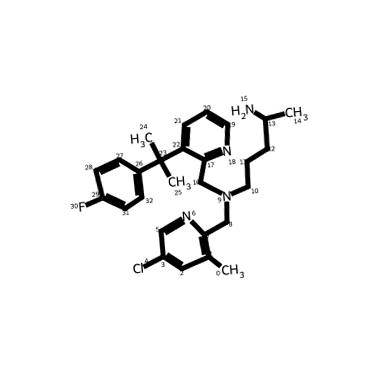 Cc1cc(Cl)cnc1CN(CCCC(C)N)Cc1ncccc1C(C)(C)c1ccc(F)cc1